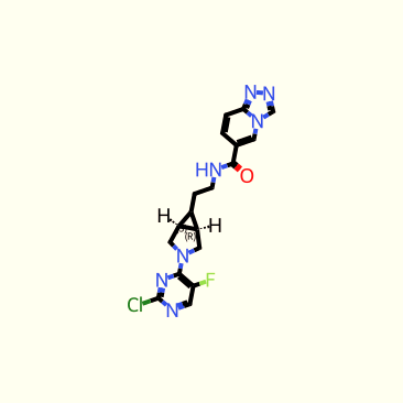 O=C(NCCC1[C@H]2CN(c3nc(Cl)ncc3F)C[C@@H]12)c1ccc2nncn2c1